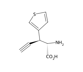 C#C[C@@H](c1ccsc1)[C@H](N)C(=O)O